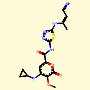 COc1c(NC2CC2)cc(C(=O)Nc2nnc(N/C(C)=C\C=N)s2)oc1=O